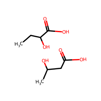 CC(O)CC(=O)O.CCC(O)C(=O)O